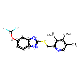 COc1c(C)cnc(CSc2nc3cc(OC(F)F)ccc3[nH]2)c1OC